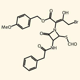 COc1ccc(COC(=O)/C(=C(\O)CBr)N2C(=O)C(NC(=O)Cc3ccccc3)C2SC=O)cc1